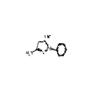 Cl.NC1=NN(c2ccccc2)CC1